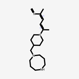 C=N/C(C)=C\C=C(/C)N1CCC(CN2CCCNCCC2)CC1